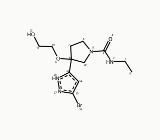 CCNC(=O)N1CCC(OCCO)(c2cc(Br)n[nH]2)C1